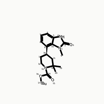 Cn1c(=O)[nH]c2cccc([C@@H]3CCN(C(=O)OC(C)(C)C)C(C)(C)C3)c21